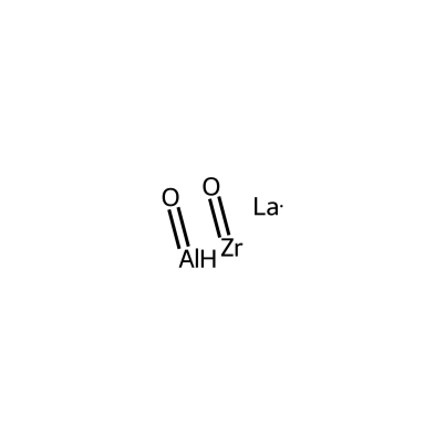 [La].[O]=[AlH].[O]=[Zr]